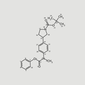 CN(C(=O)Oc1ccccc1)c1ccc(C2CCN(C(=O)OC(C)(C)C)C2)cc1